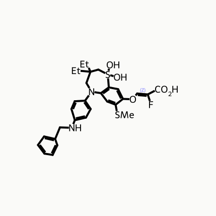 CCC1(CC)CN(c2ccc(NCc3ccccc3)cc2)c2cc(SC)c(O/C=C(\F)C(=O)O)cc2S(O)(O)C1